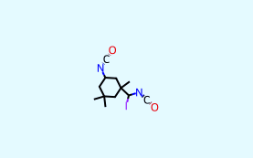 CC1(C)CC(N=C=O)CC(C)(C(I)N=C=O)C1